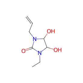 C=CCN1C(=O)N(CC)C(O)C1O